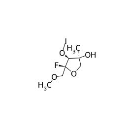 COC[C@@]1(F)OC[C@](C)(O)[C@@H]1OI